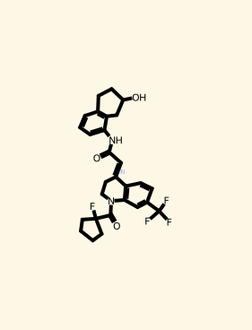 O=C(/C=C1\CCN(C(=O)C2(F)CCCC2)c2cc(C(F)(F)F)ccc21)Nc1cccc2c1CC(O)CC2